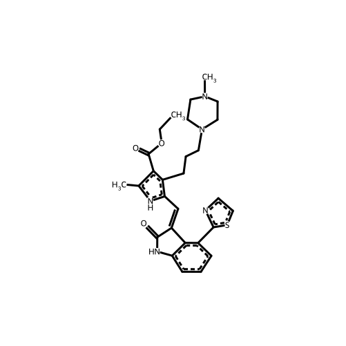 CCOC(=O)c1c(C)[nH]c(C=C2C(=O)Nc3cccc(-c4nccs4)c32)c1CCCN1CCN(C)CC1